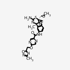 COC[C@]12C[C@H]1[C@@](C)(c1cc(NC(=O)c3cnc(OCc4nc(C)no4)cn3)ccc1F)N=C(N)S2